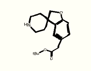 CC(C)(C)OC(=O)Cc1ccc2c(c1)C1(CCNCC1)CO2